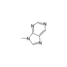 [CH2]n1cnc2cncnc21